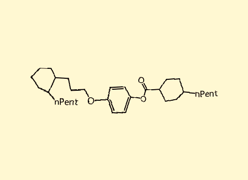 CCCCCC1CCC(C(=O)Oc2ccc(OCCCC3CCCCC3CCCCC)cc2)CC1